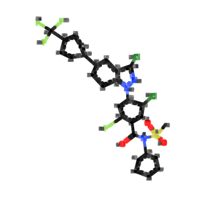 CS(=O)(=O)N(C(=O)c1cc(Cl)c(-n2nc(Cl)c3cc(-c4ccc(C(F)(F)F)cc4)ccc32)cc1F)c1ccccc1